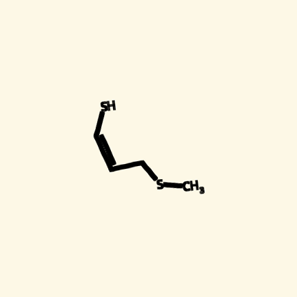 CSC/C=C\S